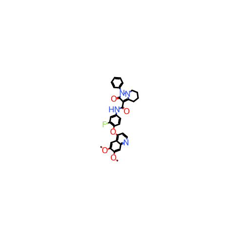 COc1cc2nccc(Oc3ccc(NC(=O)c4c5n(n(-c6ccccc6)c4=O)CCCC5)cc3F)c2cc1OC